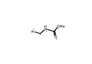 COC(=O)NCC(C)=O